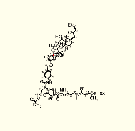 CC/C=C\C(=O)/C=C1/CC[C@@H]2[C@@H](C1)[C@@H](O)C[C@@]1(C)[C@H]2C[C@H]2OC(CCC)O[C@]21C(=O)COC(=O)OCc1ccc(NC(=O)[C@H](CCCNC(N)=O)NC(=O)[C@@H](NC(=O)[C@H](N)CCCCNC(=O)COC(C)CCCCCC)C(C)C)cc1